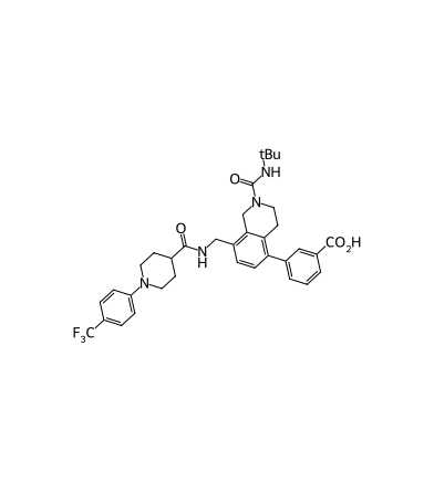 CC(C)(C)NC(=O)N1CCc2c(-c3cccc(C(=O)O)c3)ccc(CNC(=O)C3CCN(c4ccc(C(F)(F)F)cc4)CC3)c2C1